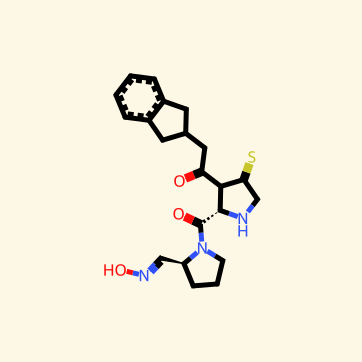 O=C(CC1Cc2ccccc2C1)C1C(=S)CN[C@@H]1C(=O)N1CCC[C@H]1C=NO